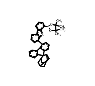 CC1(C)OB(c2cccc3c2sc2c(-c4cccc5c4-c4ccccc4C54C5CC6CC(C5)CC4C6)cccc23)OC1(C)C